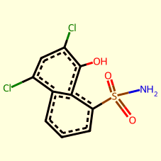 NS(=O)(=O)c1cccc2c(Cl)cc(Cl)c(O)c12